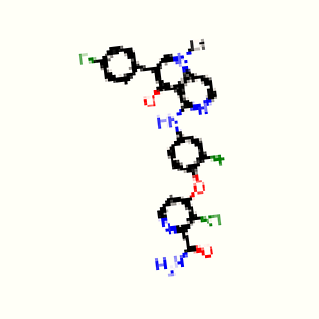 CCn1cc(-c2ccc(F)cc2)c(=O)c2c(Nc3ccc(Oc4ccnc(C(N)=O)c4Cl)c(F)c3)nccc21